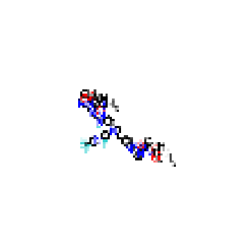 CCCCN(Cc1nc2cc([C@H]3CCC(Cc4ccc5[nH]c([C@@H]6CCCN6C(=O)[C@@H](NC(=O)OC)C(C)C)nc5c4)N3c3cc(F)c(N4CCC(C(F)(F)F)CC4)c(F)c3)ccc2[nH]1)C(=O)[C@@H](NC(=O)OC)C(C)C